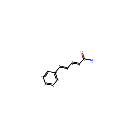 [NH]C(=O)C=CC=Cc1ccccc1